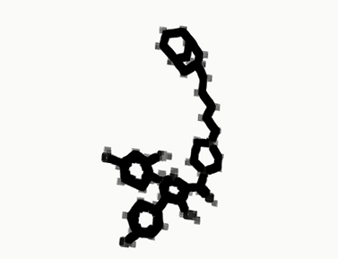 Cc1c(C(=O)N2CCN(CCCCCC3CC4CCCC(C3)C4)CC2)nn(-c2ccc(Cl)cc2Cl)c1-c1ccc(Cl)cc1